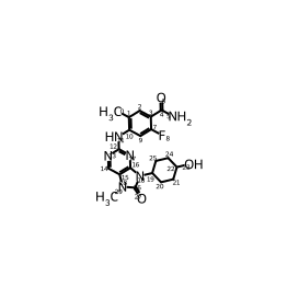 Cc1cc(C(N)=O)c(F)cc1Nc1ncc2c(n1)n(C1CCC(O)CC1)c(=O)n2C